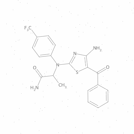 CC(C(N)=O)N(c1ccc(C(F)(F)F)cc1)c1nc(N)c(C(=O)c2ccccc2)s1